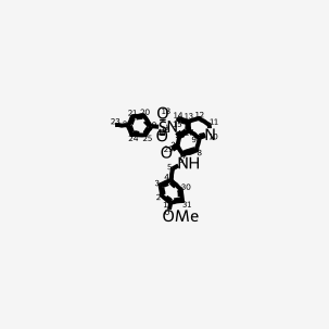 COc1ccc(CNC2=CC3=NCCc4cn(S(=O)(=O)c5ccc(C)cc5)c(c43)C2=O)cc1